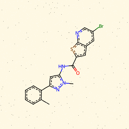 Cc1ccccc1-c1cc(NC(=O)c2cc3cc(Br)cnc3s2)n(C)n1